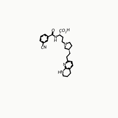 N#Cc1cccc(C(=O)N[C@@H](CCN2CC[C@@H](CCc3ccc4c(n3)NCCC4)C2)C(=O)O)c1